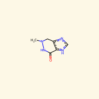 CN1Cc2nc[nH]c2C(=O)N1